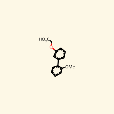 COc1ccccc1-c1cccc(OCC(=O)O)c1